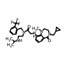 CC(C)NCCN(Cc1ccccc1C(F)(F)F)C(=O)CNc1cccc2c1N(C)CCN(CC1CC1)C2=O